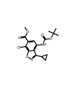 COC(=O)c1cc(NC(=O)OC(C)(C)C)c2c(C3CC3)noc2c1Cl